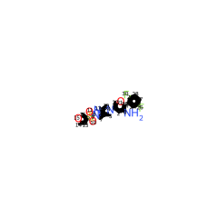 N[C@H]1C[C@@H](N2Cc3cn(S(=O)(=O)C4CCOC4)nc3C2)CO[C@@H]1c1cc(F)ccc1F